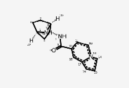 O=C(N[C@@H]1C[C@H]2CC[C@@H]1N2)c1ccn2cccc2c1